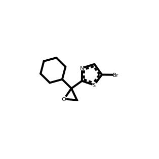 Brc1cnc(C2(C3CCCCC3)CO2)s1